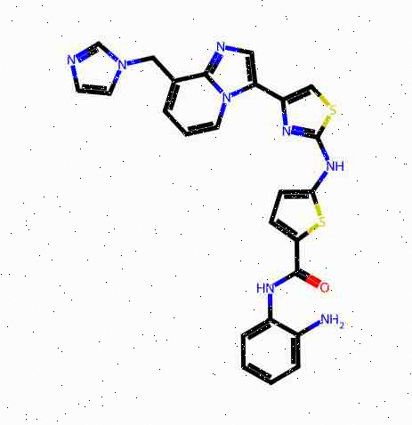 Nc1ccccc1NC(=O)c1ccc(Nc2nc(-c3cnc4c(Cn5ccnc5)cccn34)cs2)s1